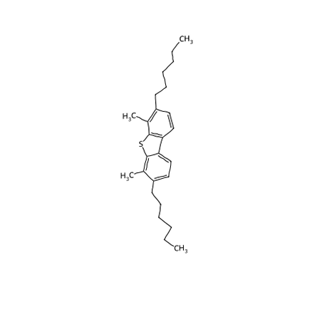 CCCCCCc1ccc2c(sc3c(C)c(CCCCCC)ccc32)c1C